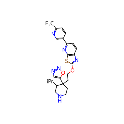 CC(C)C1CNCCC1(CCOc1nc2ccc(-c3ccc(C(F)(F)F)nc3)nc2s1)c1cnno1